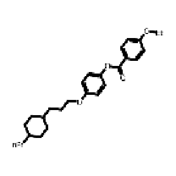 CCCC1CCC(CCCOc2ccc(OC(=O)c3ccc(OCC)cc3)cc2)CC1